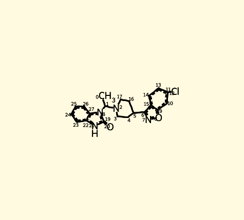 CC(N1CCC(c2noc3cc(Cl)ccc23)CC1)n1c(=O)[nH]c2ccccc21